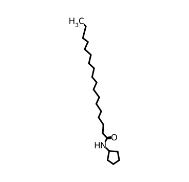 CCCCCCCCCCCCCCCCCC(=O)NC1CCCC1